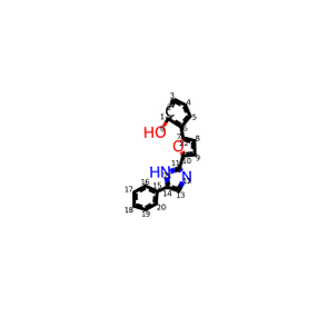 Oc1ccccc1-c1ccc(-c2ncc(-c3ccccc3)[nH]2)o1